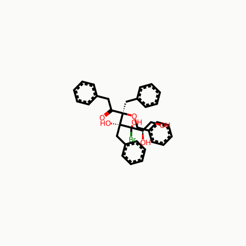 O=C(Cc1ccccc1)[C@@](Cc1ccccc1)(OCc1ccccc1)[C@](O)(Cc1ccccc1)[C@@](O)(Br)[C@H](O)CO